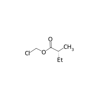 CC[C@@H](C)C(=O)OCCl